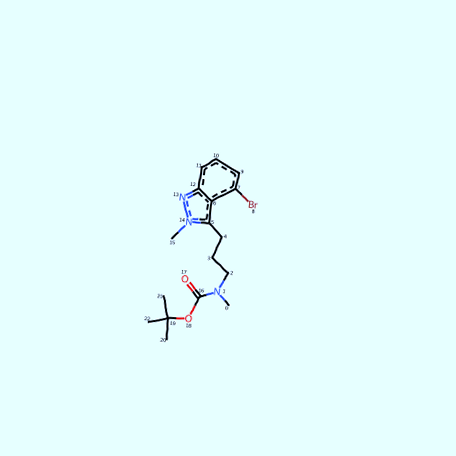 CN(CCCc1c2c(Br)cccc2nn1C)C(=O)OC(C)(C)C